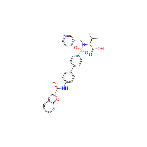 CC(C)[C@@H](C(=O)O)N(Cc1cccnc1)S(=O)(=O)c1ccc(-c2ccc(NC(=O)c3cc4ccccc4o3)cc2)cc1